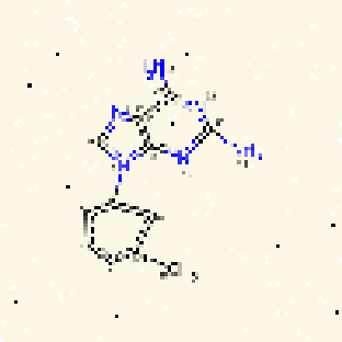 Cc1cccc(-n2cnc3c(N)nc(N)nc32)c1